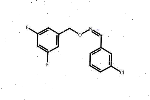 Fc1cc(F)cc(CO/N=[C]\c2cccc(Cl)c2)c1